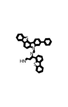 N=C/C=C(\N=C\n1c2cc(-c3ccccc3)ccc2c2c3sc4ccccc4c3ccc21)c1cccc2c1sc1ccccc12